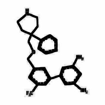 Bc1cc(B)cc(-c2cc(COCC3(c4ccccc4)CCNCC3)cc(C(F)(F)F)c2)c1